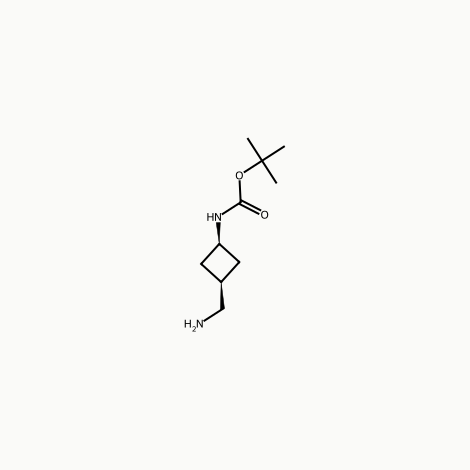 CC(C)(C)OC(=O)N[C@H]1C[C@@H](CN)C1